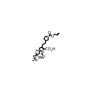 C=CCOC(=O)N1CCC(CCC2=C(C(=O)O)N3C(=O)[C@H]([C@@](C)(O[SiH](C)C)C(C)(C)C)[C@H]3C2)C1